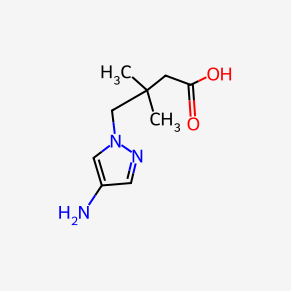 CC(C)(CC(=O)O)Cn1cc(N)cn1